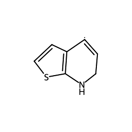 [C]1=CCNc2sccc21